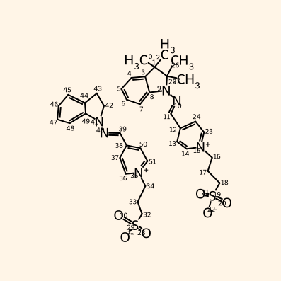 CC1(C)c2ccccc2N(/N=C/c2cc[n+](CCCS(=O)(=O)[O-])cc2)C1(C)C.O=S(=O)([O-])CCC[n+]1ccc(/C=N/N2CCc3ccccc32)cc1